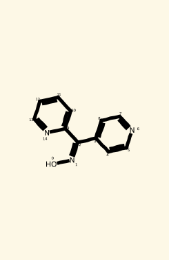 ON=C(c1ccncc1)c1ccccn1